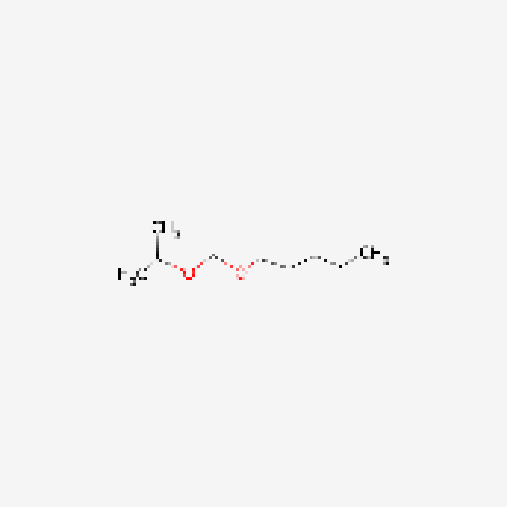 CCCCCOCOC(C)C